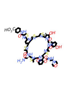 Cc1sc2nc1C(=O)N[C@@H]([C@H](OC(=O)NCCN1CCOCC1)c1ccccc1)c1nc(cs1)C(=O)N[C@@H](Cc1ccc(O)cc1)C(=O)N1C[C@H](O)[C@H](C)[C@H]1c1nc(cs1)-c1nc(cs1)-c1nc(-c3nc(C(=O)N[C@H]4CC[C@H](C(=O)O)CC4)cs3)ccc1-c1nc(cs1)C(=O)N[C@H]2CC(N)=O